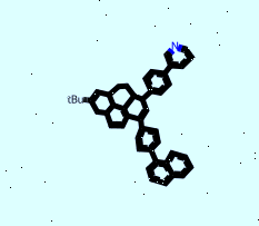 CC(C)(C)C1=CC2CCC3C4=C(C=CC(C1)C42)C(c1ccc(-c2cccc4ccccc24)cc1)=CC3c1ccc(-c2cccnc2)cc1